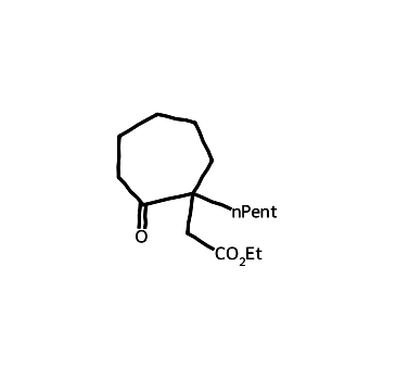 CCCCCC1(CC(=O)OCC)CCCCCC1=O